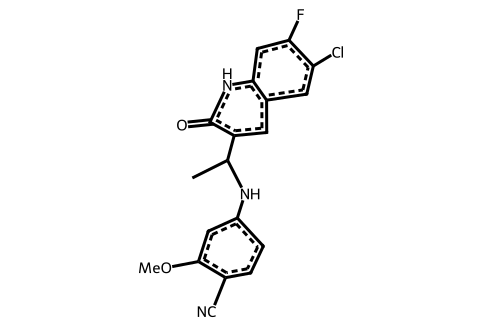 COc1cc(NC(C)c2cc3cc(Cl)c(F)cc3[nH]c2=O)ccc1C#N